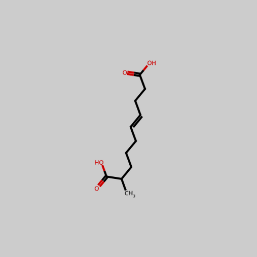 CC(CCCC=CCCC(=O)O)C(=O)O